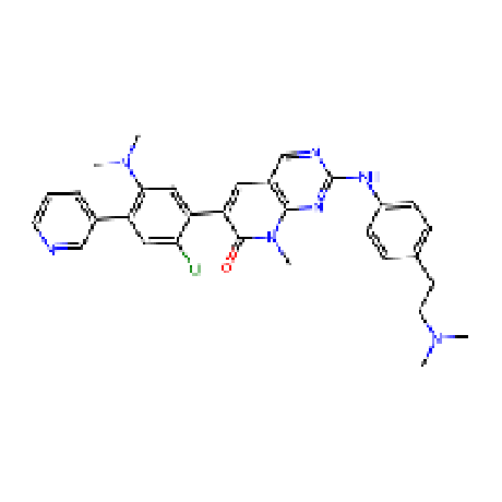 CN(C)CCc1ccc(Nc2ncc3cc(-c4cc(N(C)C)c(-c5cccnc5)cc4Cl)c(=O)n(C)c3n2)cc1